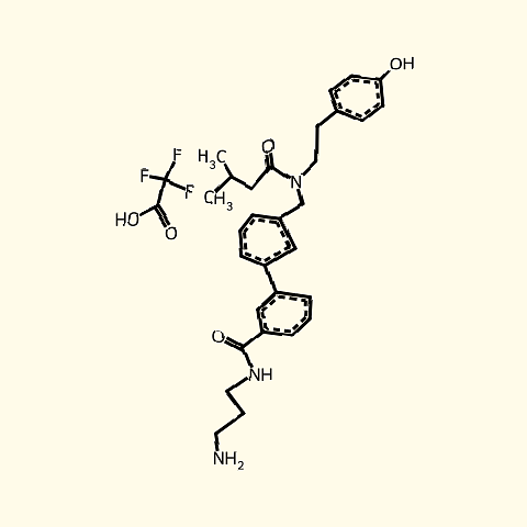 CC(C)CC(=O)N(CCc1ccc(O)cc1)Cc1cccc(-c2cccc(C(=O)NCCCN)c2)c1.O=C(O)C(F)(F)F